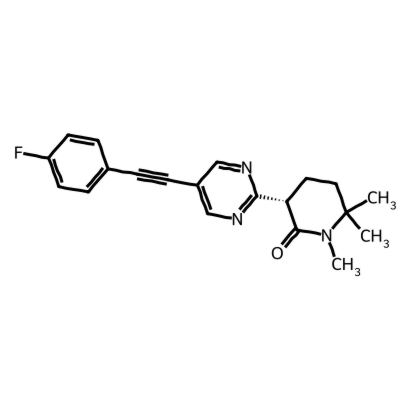 CN1C(=O)[C@H](c2ncc(C#Cc3ccc(F)cc3)cn2)CCC1(C)C